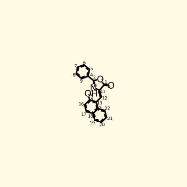 O=C1OC(c2ccccc2)=NC1=Cc1c(O)ccc2ccccc12